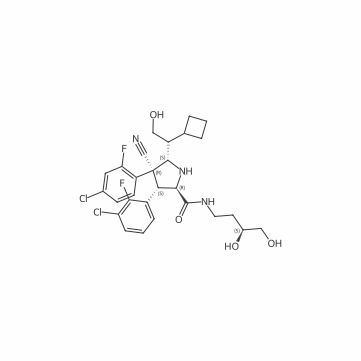 N#C[C@]1(c2ccc(Cl)cc2F)[C@H](C(CO)C2CCC2)N[C@@H](C(=O)NCC[C@H](O)CO)[C@@H]1c1cccc(Cl)c1F